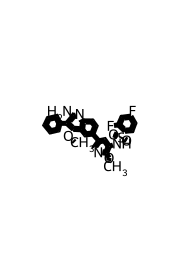 COc1ncc(-c2ccc3nc(N)c(-c4ccccc4)c(OC)c3c2)cc1NS(=O)(=O)c1ccc(F)cc1F